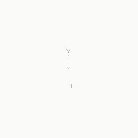 c1ccc2c(c1)-c1ccccc1C21c2cc(-c3ccc4cc(-c5ccc6c(c5)c5ccccc5n6-c5ccc6ccccc6c5)ccc4c3)ccc2-c2ccc(-c3ccc4cc(-c5ccc6c(c5)c5ccccc5n6-c5ccc6ccccc6c5)ccc4c3)cc21